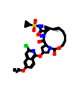 COc1ccc2c(OC3CC4C(=O)NC5(C(=O)NS(=O)(=O)C6CC6)CC5/C=C/CCCCOC(=O)N4C3)nc(Cl)cc2c1